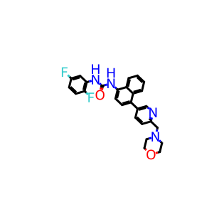 O=C(Nc1cc(F)ccc1F)Nc1ccc(-c2ccc(CN3CCOCC3)nc2)c2ccccc12